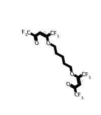 O=C(/C=C(\OCCCCCO/C(=C\C(=O)C(F)(F)F)C(F)(F)F)C(F)(F)F)C(F)(F)F